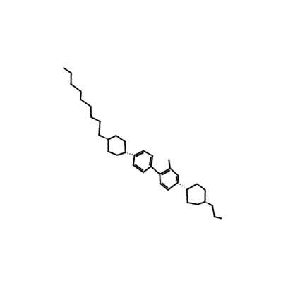 CCCCCCCCC[C@H]1CC[C@H](c2ccc(-c3ccc([C@H]4CC[C@H](CCC)CC4)cc3C)cc2)CC1